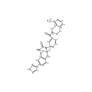 CC12CC(NC(=O)N1c1cccc(C(=O)N3CCc4cccc(C(F)(F)F)c4C3)c1)c1cc(-c3ccoc3)ccc1O2